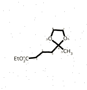 CCOC(=O)CCCC1(C)OCCO1